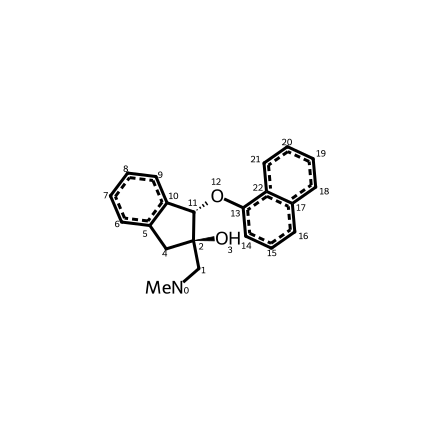 CNC[C@]1(O)Cc2ccccc2[C@@H]1Oc1cccc2ccccc12